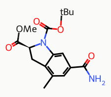 COC(=O)[C@@H]1Cc2c(C)cc(C(N)=O)cc2N1C(=O)OC(C)(C)C